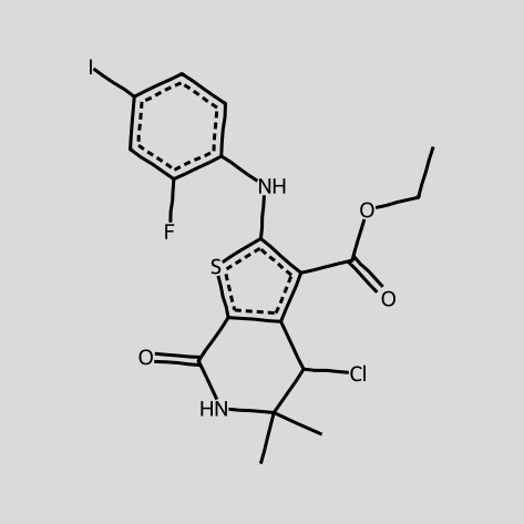 CCOC(=O)c1c(Nc2ccc(I)cc2F)sc2c1C(Cl)C(C)(C)NC2=O